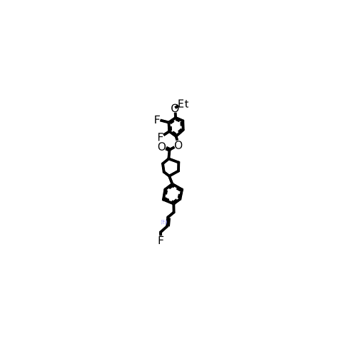 CCOc1ccc(OC(=O)C2CCC(c3ccc(C/C=C/CF)cc3)CC2)c(F)c1F